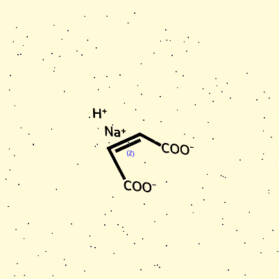 O=C([O-])/C=C\C(=O)[O-].[H+].[Na+]